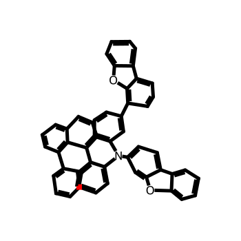 c1ccc(-c2cccc3cccc(-c4ccccc4N(c4cccc(-c5cccc6c5oc5ccccc56)c4)c4ccc5c(c4)oc4ccccc45)c23)cc1